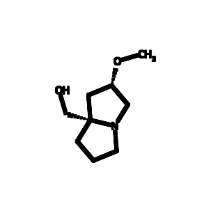 CO[C@@H]1CN2CCC[C@@]2(CO)C1